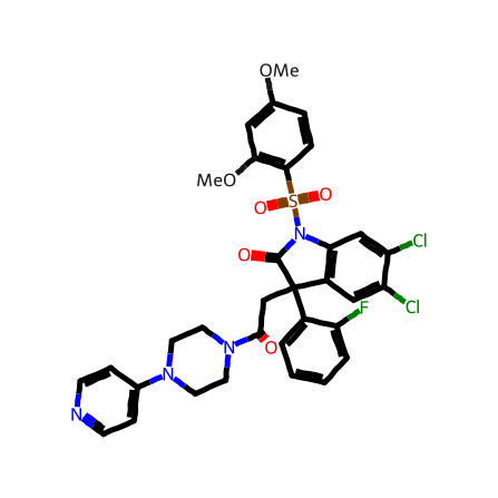 COc1ccc(S(=O)(=O)N2C(=O)C(CC(=O)N3CCN(c4ccncc4)CC3)(c3ccccc3F)c3cc(Cl)c(Cl)cc32)c(OC)c1